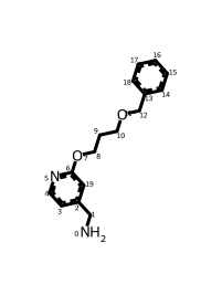 NCc1ccnc(OCCCOCc2ccccc2)c1